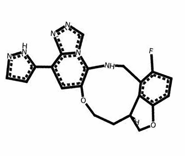 Fc1ccc2c3c1CNc1c(cc(-c4ccn[nH]4)c4nncn14)OCC[C@H]3CO2